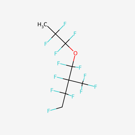 CC(F)(F)C(F)(F)OC(F)(F)C(F)(C(F)(F)F)C(F)(F)CF